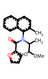 COC(OC)C(C)N(C(=O)c1ccco1)c1c(C)ccc2ccccc12